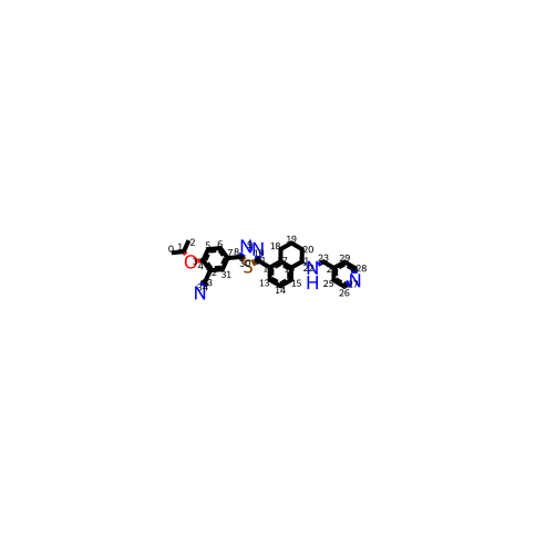 CC(C)Oc1ccc(-c2nnc(-c3cccc4c3CCC[C@@H]4NCc3ccncc3)s2)cc1C#N